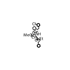 CCN(CCc1ccccc1)C(=O)CC[C@H](NC(=O)[CH][C@@H](Cc1cccc(Cl)c1)C1CCCCC1)C(=O)N(C)OC